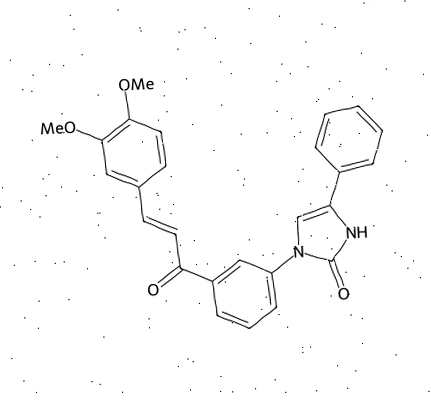 COc1ccc(/C=C/C(=O)c2cccc(-n3cc(-c4ccccc4)[nH]c3=O)c2)cc1OC